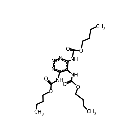 CCCCOC(=O)Nc1nnnc(NC(=O)OCCCC)c1NC(=O)OCCCC